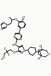 COCC(F)(F)COc1nn(C2CCC(N3[C@@H]4CC[C@H]3COC4)CC2)cc1Nc1ncc(-c2ccc(Cl)c(OC(C)Cn3cncn3)c2)cn1